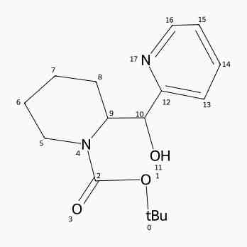 CC(C)(C)OC(=O)N1CCCCC1C(O)c1ccccn1